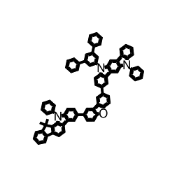 CC1(C)c2ccccc2-c2ccc3c4cc(-c5ccc6oc7ccc(-c8ccc9c(c8)c8cc%10c(cc8n9-c8cc(-c9ccccc9)cc(-c9ccccc9)c8)c8ccccc8n%10-c8ccccc8)cc7c6c5)ccc4n(-c4ccccc4)c3c21